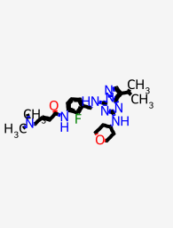 CC(C)c1cnn2c(NCc3cccc(NC(=O)C=CCN(C)C)c3F)nc(NC3CCOCC3)nc12